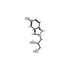 OCC(O)Cn1nc2ccc(Cl)cc2n1